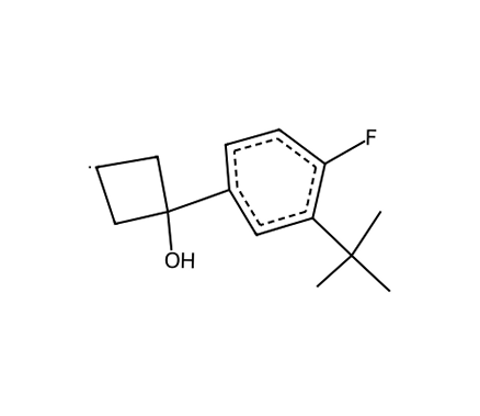 CC(C)(C)c1cc(C2(O)C[CH]C2)ccc1F